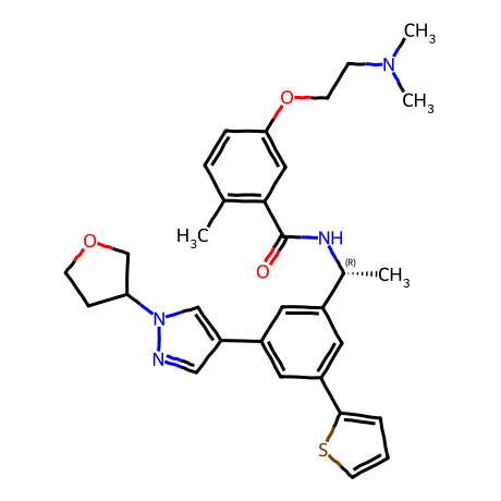 Cc1ccc(OCCN(C)C)cc1C(=O)N[C@H](C)c1cc(-c2cnn(C3CCOC3)c2)cc(-c2cccs2)c1